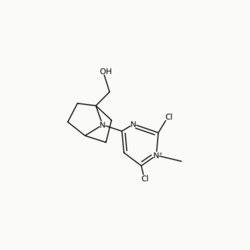 C[n+]1c(Cl)cc(N2C3CCC2(CO)CC3)nc1Cl